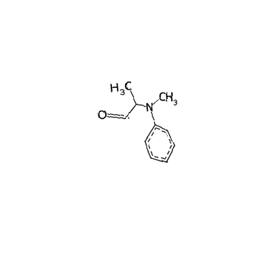 CC([C]=O)N(C)c1ccccc1